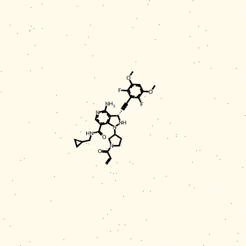 C=CC(=O)N1CCC(N2N[C@@H](C#Cc3c(F)c(OC)cc(OC)c3F)c3c(N)ncc(C(=O)NCC4CC4)c32)C1